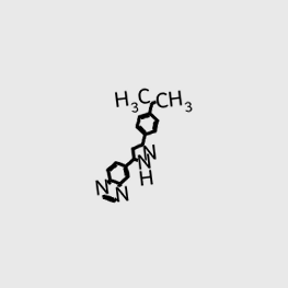 CC(C)c1ccc(C2=NNC(c3ccc4nccnc4c3)C2)cc1